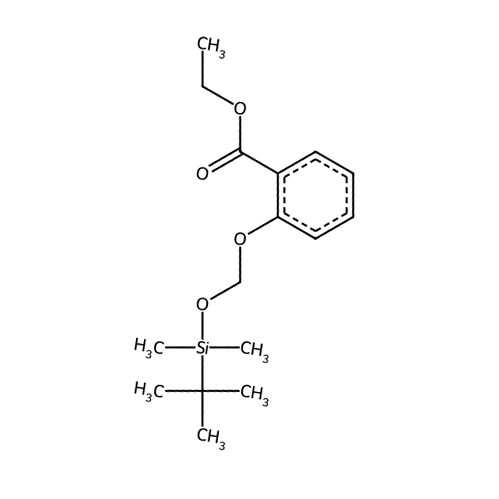 CCOC(=O)c1ccccc1OCO[Si](C)(C)C(C)(C)C